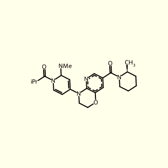 CNC1C=C(N2CCOc3cc(C(=O)N4CCCC[C@@H]4C)cnc32)C=CN1C(=O)C(C)C